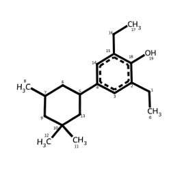 CCc1cc(C2CC(C)CC(C)(C)C2)cc(CC)c1O